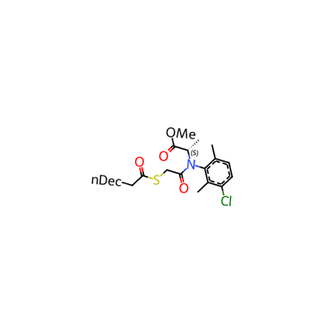 CCCCCCCCCCCC(=O)SCC(=O)N(c1c(C)ccc(Cl)c1C)[C@@H](C)C(=O)OC